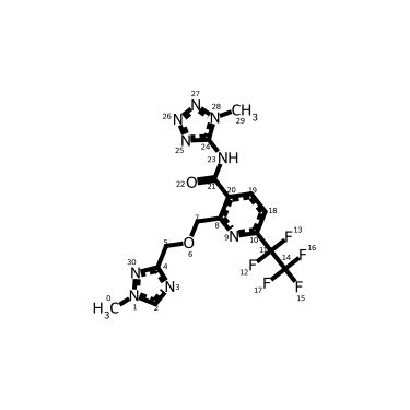 Cn1cnc(COCc2nc(C(F)(F)C(F)(F)F)ccc2C(=O)Nc2nnnn2C)n1